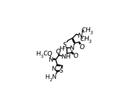 CO/N=C(\C(=O)N[C@@H]1C(=O)N2C(C=O)=C(CN(C)C)CS[C@H]12)c1csc(N)n1